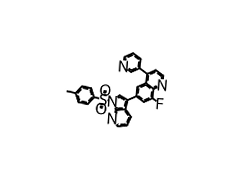 Cc1ccc(S(=O)(=O)n2cc(-c3cc(F)c4nccc(-c5cccnc5)c4c3)c3cccnc32)cc1